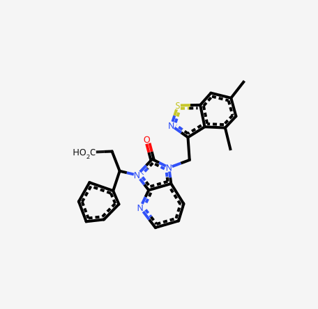 Cc1cc(C)c2c(Cn3c(=O)n(C(CC(=O)O)c4ccccc4)c4ncccc43)nsc2c1